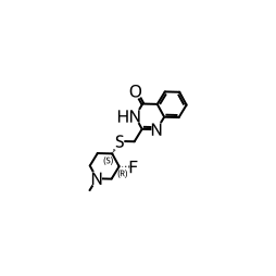 CN1CC[C@H](SCc2nc3ccccc3c(=O)[nH]2)[C@H](F)C1